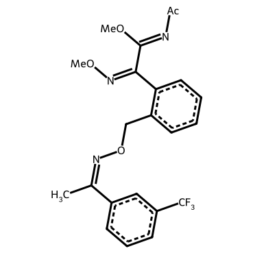 CON=C(C(=NC(C)=O)OC)c1ccccc1CON=C(C)c1cccc(C(F)(F)F)c1